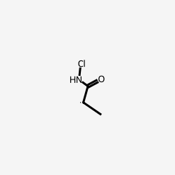 C[CH]C(=O)NCl